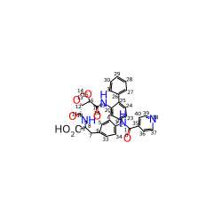 O=C(Nc1ccc(CC(NC(=O)[C@@H]2OCO[C@H]2C(=O)Nc2ccccc2-c2ccccc2)C(=O)O)cc1)c1ccncc1